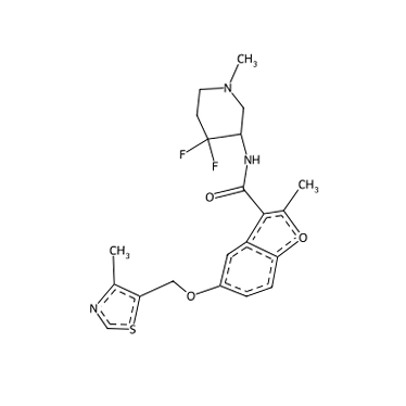 Cc1ncsc1COc1ccc2oc(C)c(C(=O)NC3CN(C)CCC3(F)F)c2c1